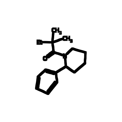 CCC(C)(C)C(=O)N1CCCCC1c1ccccc1